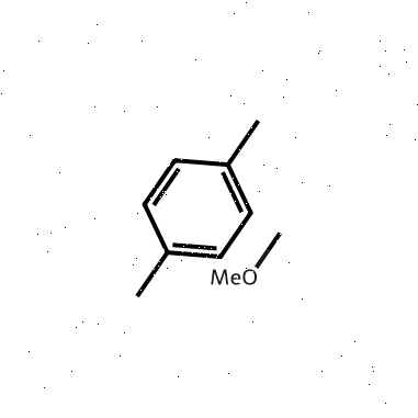 COC.Cc1ccc(C)cc1